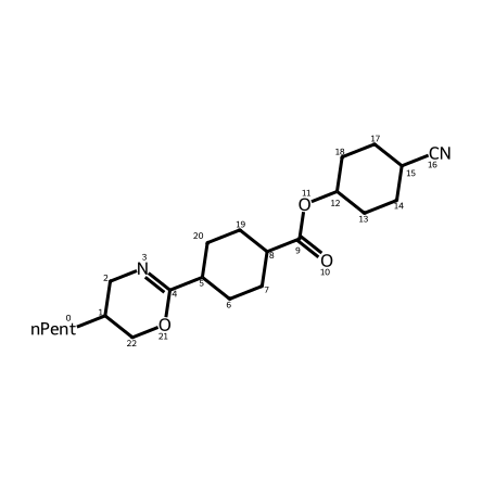 CCCCCC1CN=C(C2CCC(C(=O)OC3CCC(C#N)CC3)CC2)OC1